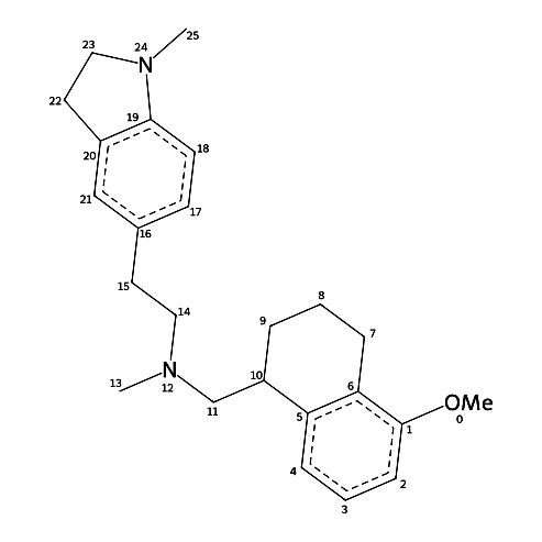 COc1cccc2c1CCCC2CN(C)CCc1ccc2c(c1)CCN2C